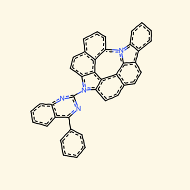 c1ccc(-c2nc(-n3c4ccc5cccc6c5c4c4c5c(ccc7c8ccccc8n6c75)ccc43)nc3ccccc23)cc1